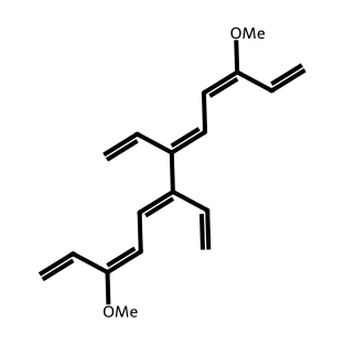 C=C\C(=C/C=C(C=C)/C(C=C)=C/C=C(\C=C)OC)OC